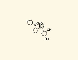 O=CN(c1ccncc1)c1ccccc1-n1nccc1-c1ccc(O)cc1O